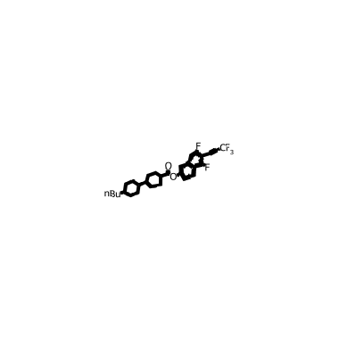 CCCCC1CCC(C2CCC(C(=O)Oc3ccc4c(F)c(C#CC(F)(F)F)c(F)cc4c3)CC2)CC1